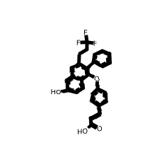 O=C(O)C=Cc1ccc(Oc2c(-c3ccccc3)c(CCC(F)(F)F)cc3cc(O)ccc23)cc1